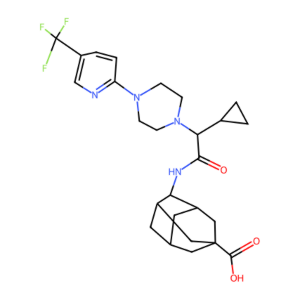 O=C(NC1C2CC3CC1CC(C(=O)O)(C3)C2)C(C1CC1)N1CCN(c2ccc(C(F)(F)F)cn2)CC1